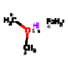 COC.I.[PbH2]